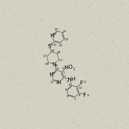 O=[N+]([O-])c1c(Nc2cccc(F)c2F)ncnc1N1CCC(Sc2ccccn2)CC1